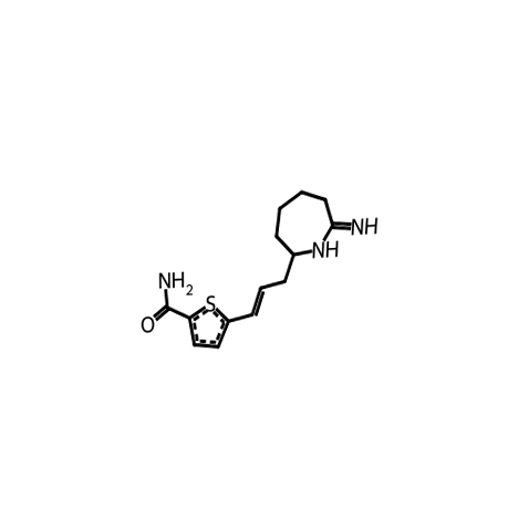 N=C1CCCCC(C/C=C/c2ccc(C(N)=O)s2)N1